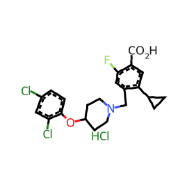 Cl.O=C(O)c1cc(C2CC2)c(CN2CCC(Oc3ccc(Cl)cc3Cl)CC2)cc1F